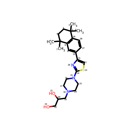 CC1(C)CCC(C)(C)c2cc(-c3csc(N4CCN(CC(O)CO)CC4)n3)ccc21